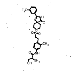 Cc1cc(NC(=O)C(N)CO)ccc1CCS(=O)(=O)N1CCC2(CC1)N=C(c1cccc(C(F)(F)F)c1)NC2=O